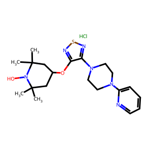 CC1(C)CC(Oc2nsnc2N2CCN(c3ccccn3)CC2)CC(C)(C)N1O.Cl